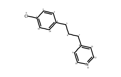 Clc1ccc(CCCc2ccncc2)cc1